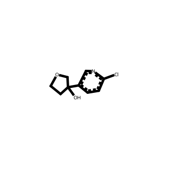 OC1(c2ccc(Cl)nc2)CCOC1